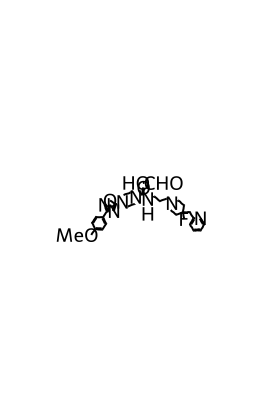 COc1ccc(-c2noc(N3CCN(C(=O)NCCCN4CCC(F)(Cc5ccccn5)CC4)CC3)n2)cc1.O=CO